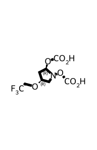 O=C(O)O[C@@H]1C[C@@H](OCC(F)(F)F)CN1OC(=O)O